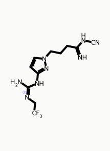 N#CNC(=N)CCCn1ccc(N/C(N)=N\CC(F)(F)F)n1